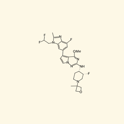 COc1nc(N[C@H]2CCN(C3(C)COC3)C[C@H]2F)nn2ccc(-c3cc(F)c4nc(C)n(CC(F)F)c4c3)c12